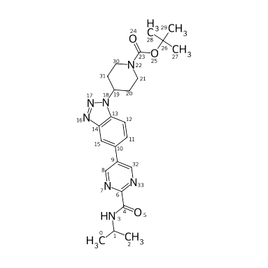 CC(C)NC(=O)c1ncc(-c2ccc3c(c2)nnn3C2CCN(C(=O)OC(C)(C)C)CC2)cn1